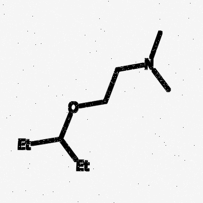 CCC(CC)OCCN(C)C